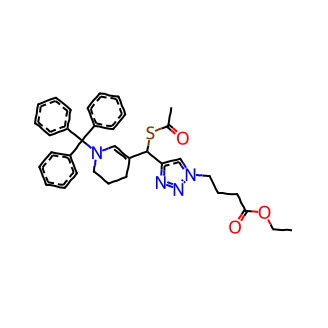 CCOC(=O)CCCn1cc(C(SC(C)=O)C2=CN(C(c3ccccc3)(c3ccccc3)c3ccccc3)CCC2)nn1